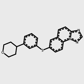 c1cc(Sc2ccc3c(ccc4ncnn43)c2)cc(C2CCOCC2)c1